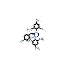 Cc1cc(C)c(N2CC[N+](Cl)(c3c(C)cc(C)cc3C)C2=Cc2ccc(Cl)cc2)c(C)c1